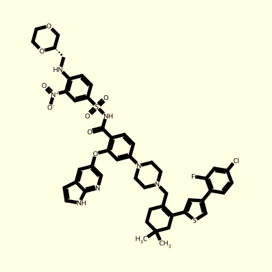 CC1(C)CCC(CN2CCN(c3ccc(C(=O)NS(=O)(=O)c4ccc(NC[C@H]5COCCO5)c([N+](=O)[O-])c4)c(Oc4cnc5[nH]ccc5c4)c3)CC2)=C(c2cc(-c3ccc(Cl)cc3F)cs2)C1